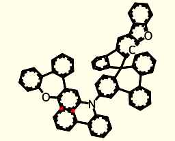 c1ccc(-c2ccccc2N(c2ccc3c(c2)-c2ccccc2-c2ccccc2O3)c2ccc3c(c2)-c2ccccc2-c2ccccc2C32c3ccccc3-c3cc4c(cc32)oc2ccccc24)cc1